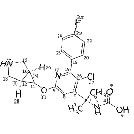 CC(C)(NC(=O)O)c1cc(OC2[C@H]3CNC[C@@H]23)nc(-c2ccc(F)cc2)c1Cl